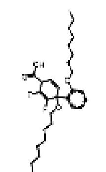 CCCCCCCCOc1ccccc1C1(OCCCCCCCC)C=CC(C(=O)O)C(F)=C1F